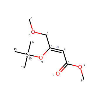 COC/C(=C/C(=O)OC)O[Si](C)(C)C